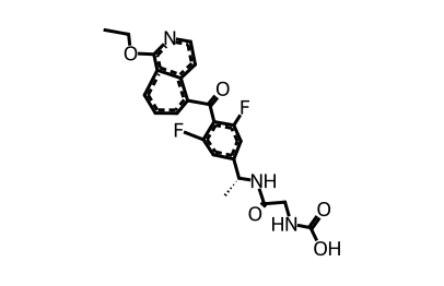 CCOc1nccc2c(C(=O)c3c(F)cc([C@@H](C)NC(=O)CNC(=O)O)cc3F)cccc12